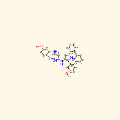 COc1ccc(Cn2nc(Nc3cc(-c4ccccc4)n(-c4ccccc4-c4ccc(OC)cc4)n3)cc2N)cc1